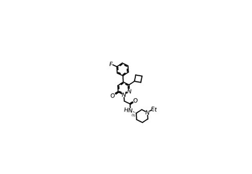 CCN1CCC[C@H](NC(=O)Cn2nc(C3CCC3)c(-c3cccc(F)c3)cc2=O)C1